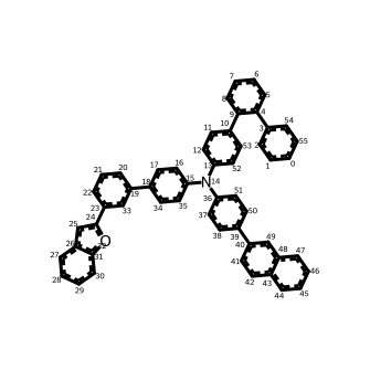 c1ccc(-c2ccccc2-c2ccc(N(c3ccc(-c4cccc(-c5cc6ccccc6o5)c4)cc3)c3ccc(-c4ccc5ccccc5c4)cc3)cc2)cc1